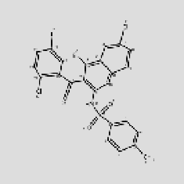 Cc1ccc(S(=O)(=O)Nc2cc3ccc(Cl)cc3c(Br)c2C(=O)c2cc(F)ccc2Cl)cc1